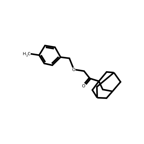 Cc1ccc(COCC(=O)C23CC4CC(CC(C4)C2)C3)cc1